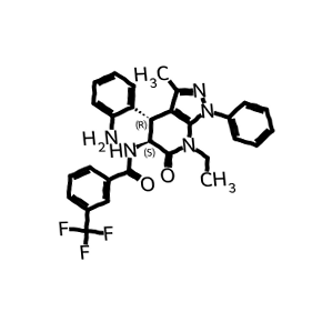 CCN1C(=O)[C@@H](NC(=O)c2cccc(C(F)(F)F)c2)[C@H](c2ccccc2N)c2c(C)nn(-c3ccccc3)c21